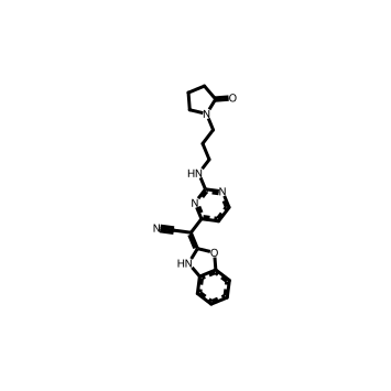 N#CC(=C1Nc2ccccc2O1)c1ccnc(NCCCN2CCCC2=O)n1